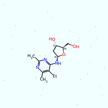 CCc1c(C)nc(C)nc1N[C@H]1C[C@H](O)[C@@H](CO)O1